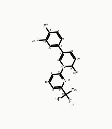 Fc1ccc(C2=CN(c3cccc(C(F)(F)F)n3)C(F)C=C2)cc1F